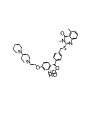 Cc1cccc2nc(SCc3ccc(C(=O)c4ccc(OCCN5CCC(N6CCCCC6)CC5)cc4)cc3)n(C)c(=O)c12.Cl.Cl